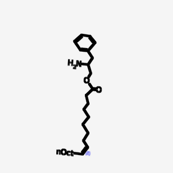 CCCCCCCC/C=C\CCCCCCCC(=O)OCC(N)Cc1ccccc1